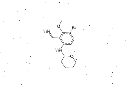 COc1c(Br)ccc(NC2CCCCO2)c1C=N